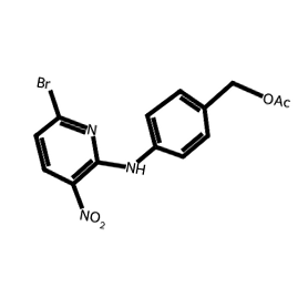 CC(=O)OCc1ccc(Nc2nc(Br)ccc2[N+](=O)[O-])cc1